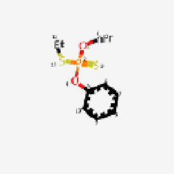 CCCOP(=S)(Oc1ccccc1)SCC